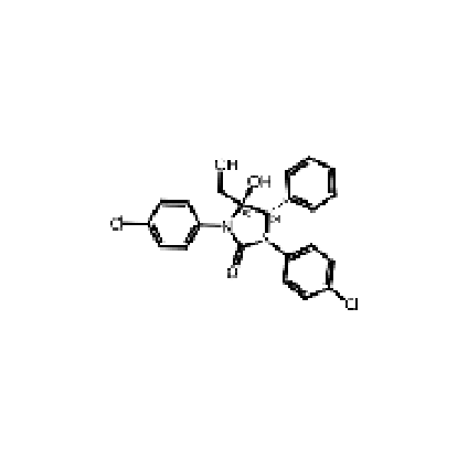 O=C1N(c2ccc(Cl)cc2)[C@@H](c2ccccc2)[C@@](O)(CO)N1c1ccc(Cl)cc1